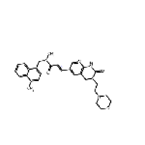 Cc1ccc(CN(C)C(=O)/C=C/c2cnc3c(c2)CN(CCN2CCOCC2)C(=O)N3)c2ccccc12